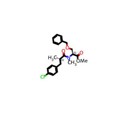 COC(=O)[C@H](COCc1ccccc1)N(C)C(=O)[C@@H](C)Cc1ccc(Cl)cc1